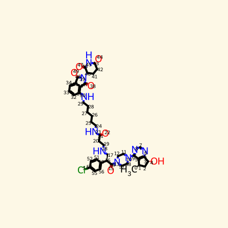 C[C@@H]1C[C@@H](O)c2ncnc(N3CCN(C(=O)[C@H](CNCCC(=O)NCCCCCCNc4cccc5c4C(=O)N(C4CCC(=O)NC4=O)C5=O)c4ccc(Cl)cc4)CC3)c21